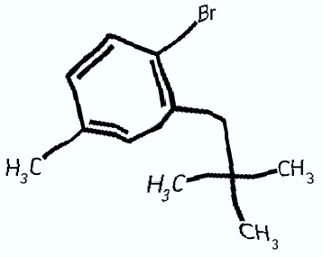 Cc1ccc(Br)c(CC(C)(C)C)c1